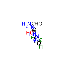 CN(Cc1cc(Cl)cc(Cl)c1)c1ncnc(NC[C@@H]2CCN(C(C=O)CN)C[C@H]2O)c1F